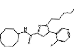 CCCCCN1N=C(C(=O)NC2CCCCCCC2)CC1c1ccccc1F